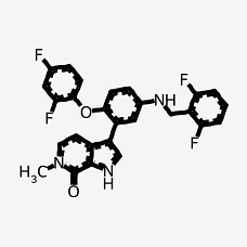 Cn1ccc2c(-c3cc(NCc4c(F)cccc4F)ccc3Oc3ccc(F)cc3F)c[nH]c2c1=O